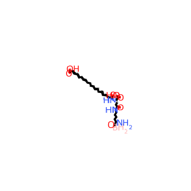 BC(=O)[C@@H](N)CCCCNC(=O)CC[C@H](NC(=O)CCCCCCCCCCCCCCCCCCC(=O)O)C(=O)O